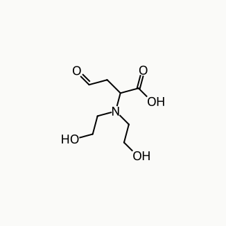 O=CCC(C(=O)O)N(CCO)CCO